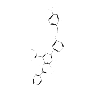 COC(=O)c1nc(-c2cccc(OCc3ccc(OC)cc3)c2)nc(O)c1OC(=O)c1ccccc1